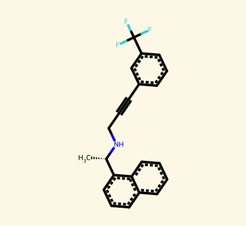 C[C@H](NCC#Cc1cccc(C(F)(F)F)c1)c1cccc2ccccc12